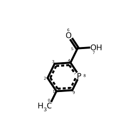 Cc1ccc(C(=O)O)pc1